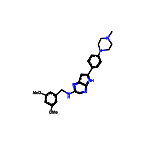 COc1cc(CNc2cnc3[nH]c(-c4ccc(N5CCN(C)CC5)cc4)cc3n2)cc(OC)c1